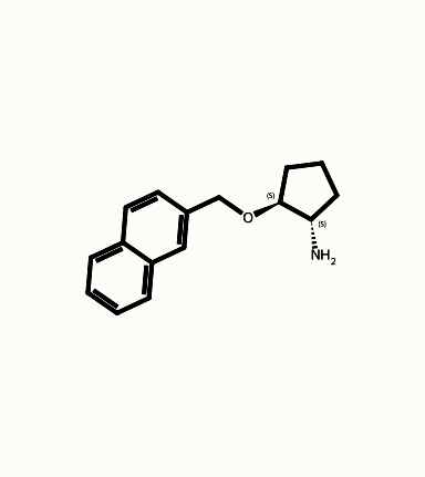 N[C@H]1CCC[C@@H]1OCc1ccc2ccccc2c1